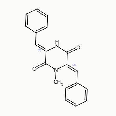 Cn1c(=O)/c(=C/c2ccccc2)[nH]c(=O)/c1=C/c1ccccc1